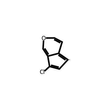 Clc1c[c]c2ccocc1-2